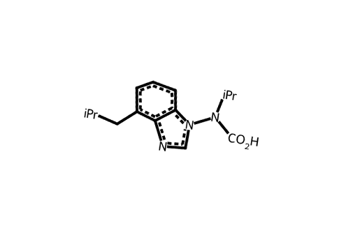 CC(C)Cc1cccc2c1ncn2N(C(=O)O)C(C)C